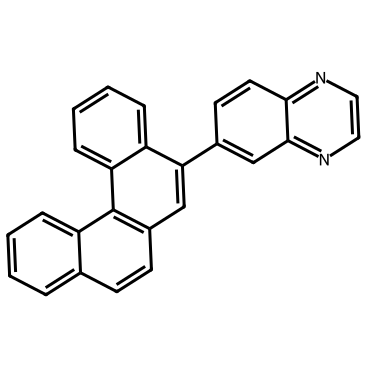 c1ccc2c(c1)ccc1cc(-c3ccc4nccnc4c3)c3ccccc3c12